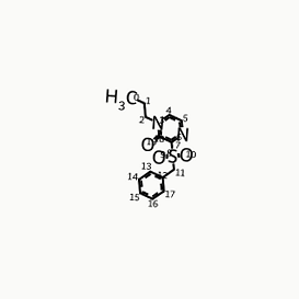 CCCn1ccnc(S(=O)(=O)Cc2ccccc2)c1=O